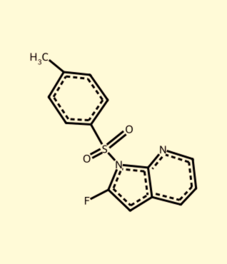 Cc1ccc(S(=O)(=O)n2c(F)cc3cccnc32)cc1